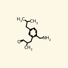 CC(C)Cc1ccc(CN)c(CC(C)C=O)c1